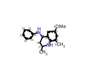 COc1cc(C)c2c(c1)C(Nc1ccccc1)CC(C)N2